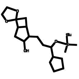 CC(C)(C)[Si](C)(C)OC(CCC1C(O)CC2C1CC21OCCO1)C1CCCC1